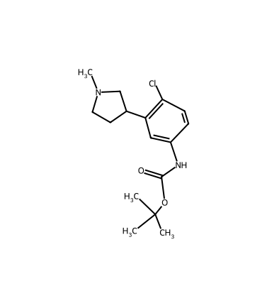 CN1CCC(c2cc(NC(=O)OC(C)(C)C)ccc2Cl)C1